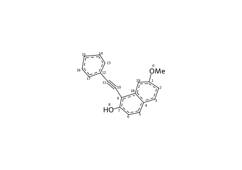 COc1ccc2ccc(O)c(C#Cc3ccccc3)c2c1